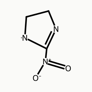 O=[N+]([O-])C1=NCC[N]1